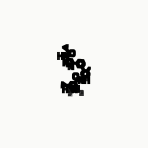 Cc1ccc(NC(=O)C(/C=C(\N)C2CC2)=C/N)cc1-c1cccc(-c2cc(NC(=O)C3CC3)ncn2)c1